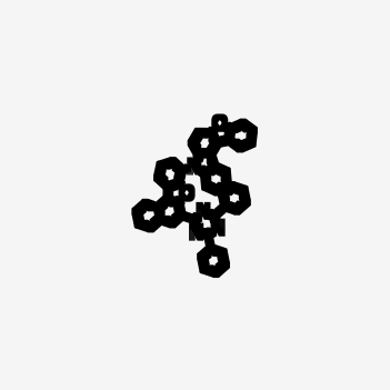 c1ccc(-c2nc(-c3ccccc3)nc(-c3cc4ccccc4c4c3oc3c(-n5c6ccccc6c6c7c(ccc65)oc5ccccc57)cccc34)n2)cc1